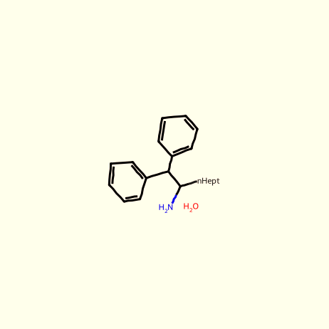 CCCCCCCC(N)C(c1ccccc1)c1ccccc1.O